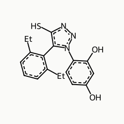 CCc1cccc(CC)c1-c1c(S)nnn1-c1ccc(O)cc1O